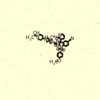 CCOc1ncccc1C1(NC(=O)N2CC3(C2)CN(C2CCN(C(C)C)CC2)C3)C(=O)N(S(=O)(=O)c2ccc(OC)cc2)c2ccc(C#N)cc21